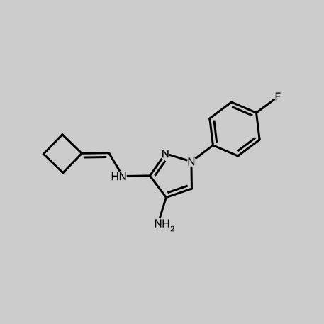 Nc1cn(-c2ccc(F)cc2)nc1NC=C1CCC1